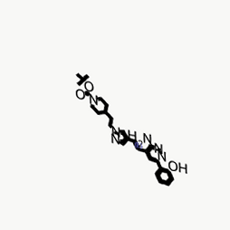 CC(C)(C)OC(=O)N1CCC(CCn2cc(/C=C/c3cc(-c4ccccc4O)nnc3N)cn2)CC1